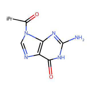 CC(C)C(=O)n1cnc2c(=O)[nH]c(N)nc21